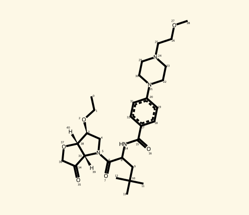 CCO[C@H]1CN(C(=O)C(CC(C)(C)C)NC(=O)c2ccc(N3CCN(CCOC)CC3)cc2)[C@@H]2C(=O)CO[C@H]12